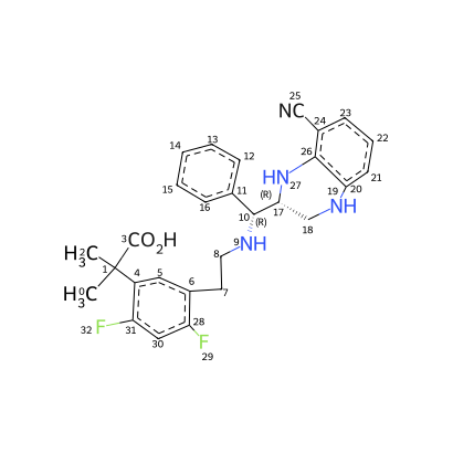 CC(C)(C(=O)O)c1cc(CCN[C@H](c2ccccc2)[C@H]2CNc3cccc(C#N)c3N2)c(F)cc1F